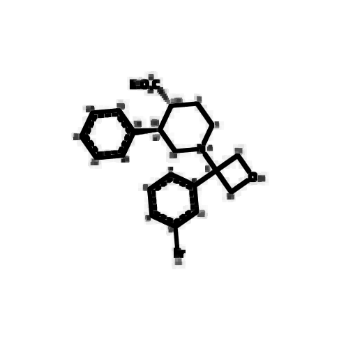 CCOC(=O)[C@@H]1CCN(C2(c3cccc(Br)c3)COC2)C[C@H]1c1ccccc1